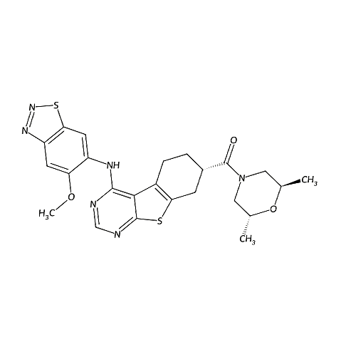 COc1cc2nnsc2cc1Nc1ncnc2sc3c(c12)CC[C@H](C(=O)N1C[C@@H](C)O[C@H](C)C1)C3